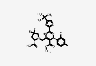 COC(=O)C1=C(CN2CC(F)(F)C[C@H]2C(=O)O)NC(c2nc(C(C)(C)C)cs2)=N[C@H]1c1ccc(F)cc1Cl